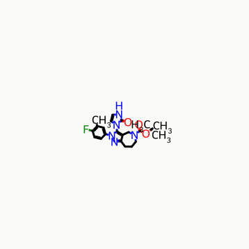 Cc1cc(-n2nc3c(c2-n2cc[nH]c2=O)CN(C(=O)OC(C)(C)C)CCC3)ccc1F